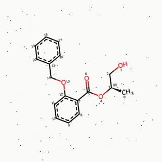 C[C@H](CO)OC(=O)c1ccccc1OCc1ccccc1